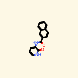 O=C(Nc1ccc[nH]c1=O)c1ccc2ccccc2c1